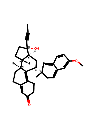 CC#C[C@]1(O)CC[C@H]2[C@@H]3CCC4=CC(=O)CCC4=C3[C@@H](C3(C)C=c4ccc(OC)cc4=CC3)C[C@@]21C